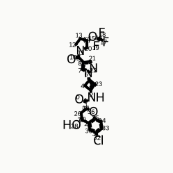 O=C(NC12CC(n3cc(C(=O)N4CC[C@H](OC(F)(F)F)C4)cn3)(C1)C2)[C@H]1C[C@H](O)c2cc(Cl)ccc2O1